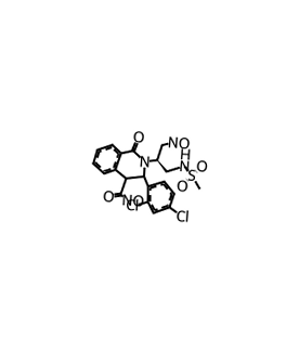 CS(=O)(=O)NC[C@H](CN=O)N1C(=O)c2ccccc2C(C(=O)N=O)C1c1ccc(Cl)cc1Cl